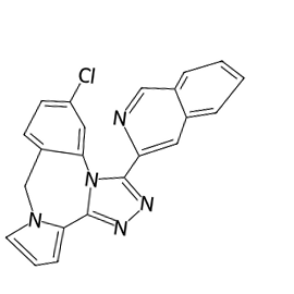 Clc1ccc2c(c1)-n1c(-c3cc4ccccc4cn3)nnc1-c1cccn1C2